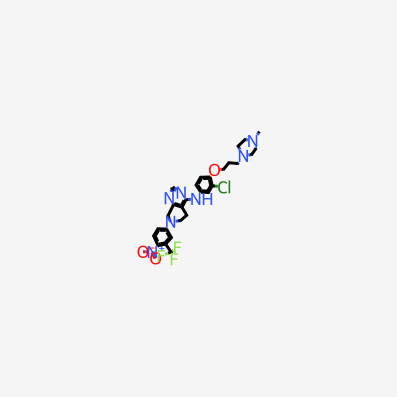 CN1CCN(CCCOc2ccc(Nc3ncnc4c3CCN(c3ccc([N+](=O)[O-])c(C(F)(F)F)c3)C4)cc2Cl)CC1